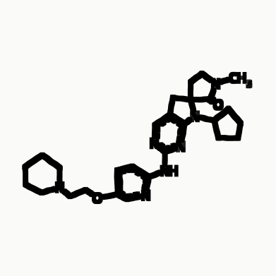 CN1CCC2(Cc3cnc(Nc4ccc(OCCN5CCCCC5)cn4)nc3N2C2CCCC2)C1=O